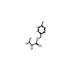 Cc1ccc(COC(=O)[C@@H](C)C(C)C)cc1